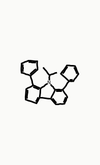 CC(C)n1c2c(-c3ccccc3)cccc2c2cccc(-c3ccccc3)c21